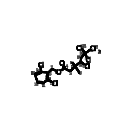 CC(C)(CC(=O)OCc1c(Cl)cccc1Cl)C(Cl)CC(Cl)(Cl)C(F)(F)F